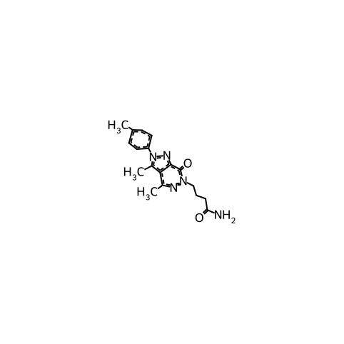 Cc1ccc(-n2nc3c(=O)n(CCCC(N)=O)nc(C)c3c2C)cc1